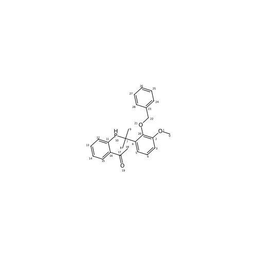 COc1cccc(C(C)(C)Pc2ccccc2C(C)=O)c1OCc1ccccc1